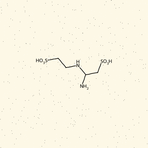 NC(CS(=O)(=O)O)NCCS(=O)(=O)O